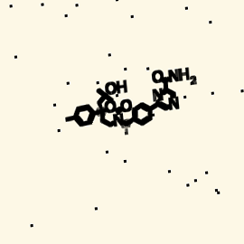 Cc1ccc([C@@]2(CC(C)(C)O)CCN([C@@H](C)c3ccc(-c4cncc(C(N)=O)n4)cc3)C(=O)O2)cc1